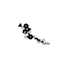 CNC(=O)NCCCCSc1ccc(Cl)c(COC2(c3cnccc3-c3ccccc3OC3CC3)CC2)c1